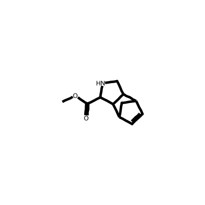 COC(=O)C1NCC2C3C=CC(C3)C12